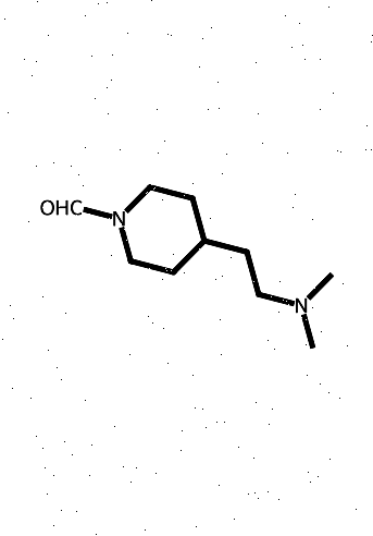 CN(C)CCC1CCN(C=O)CC1